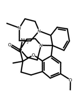 COc1cc2c(c(C3(N4CCOCC4)C=CC=CC3N3CCN(C)CC3)c1)OC(C)(C(N)=O)CC2